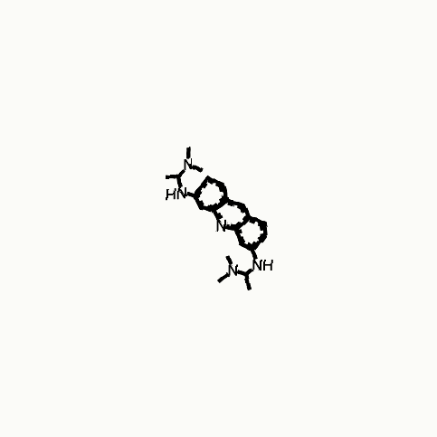 CC(Nc1ccc2cc3ccc(NC(C)N(C)C)cc3nc2c1)N(C)C